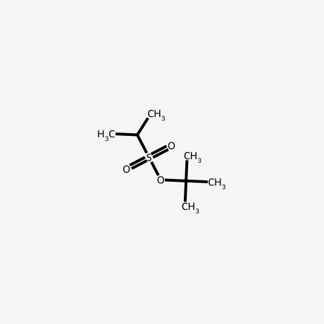 CC(C)S(=O)(=O)OC(C)(C)C